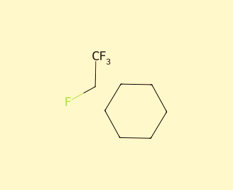 C1CCCCC1.FCC(F)(F)F